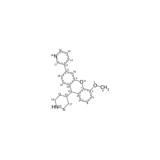 COc1cccc2c1Oc1cc(-c3cccnc3)ccc1C2C1CCNCC1